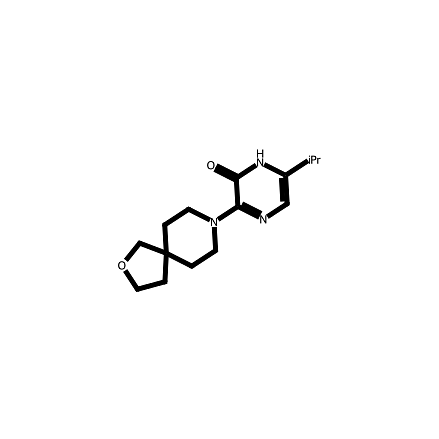 CC(C)c1cnc(N2CCC3(CCOC3)CC2)c(=O)[nH]1